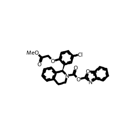 COC(=O)COc1ccc(Cl)cc1[C@@H]1c2ccccc2CCN1C(=O)Oc1nc2ccccc2o1